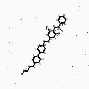 C/C=C/CCc1ccc(-c2ccc(CCc3cc(F)c(C[C@H](C)c4ccccc4)c(F)c3)cc2)cc1